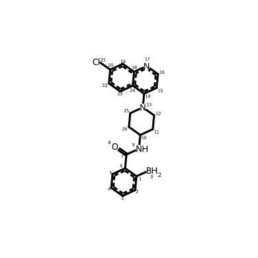 Bc1ccccc1C(=O)NC1CCN(c2ccnc3cc(Cl)ccc23)CC1